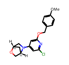 COc1ccc(COc2cc(N3C[C@@H]4C[C@H]3CO4)cc(Cl)n2)cc1